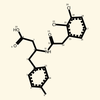 Cc1ccc(CC(CC(=O)O)NC(=O)Cc2cccc(Cl)c2Cl)cc1